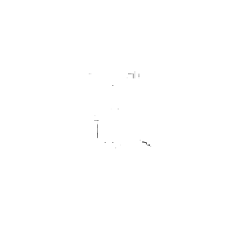 CCCC[C@@H](CC)C1=C[C@@H](C)C(C)=CS1